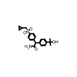 CC(C)(O)c1ccc(C(C(N)=O)c2ccc(S(=O)(=O)CC3CC3)cc2)cc1